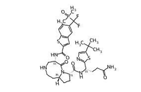 CC(C)(C)c1cnc([C@H](CCC(N)=O)NC(=O)[C@@H]2CC[C@@H]3CCNC[C@H](NC(=O)c4cc5cc(C(F)(F)P(C)(C)=O)ccc5s4)C(=O)N32)s1